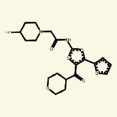 O=C(CN1CCC(O)CC1)Nc1nc(-c2ccco2)c(C(=O)C2CCOCC2)s1